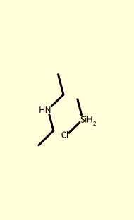 CCNCC.C[SiH2]Cl